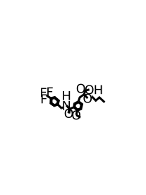 CCCCOC(Cc1ccc(OC)c(C(=O)NCc2ccc(C(F)(F)F)cc2)c1)C(=O)O